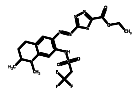 CCOC(=O)c1nnc(N=Nc2cc3c(cc2NS(=O)(=O)CC(F)(F)F)N(C)C(C)CC3)s1